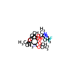 CC1=CC23C(=O)C(/C=C4/COC(C)(C)OC4CC2(O)C1OC(=O)c1c(C)nn(CC(F)(F)F)c1C)[C@H]1C(C[C@H]3C)C1(C)C